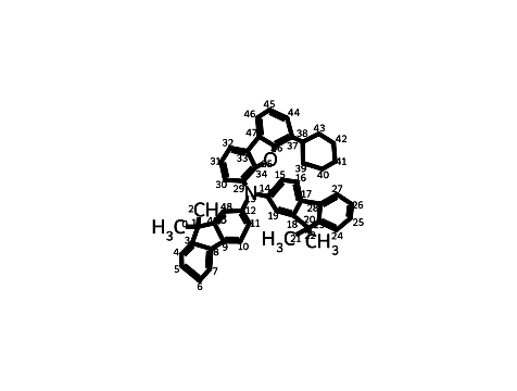 CC1(C)c2ccccc2-c2ccc(N(c3ccc4c(c3)C(C)(C)c3ccccc3-4)c3cccc4c3oc3c(C5CCCCC5)cccc34)cc21